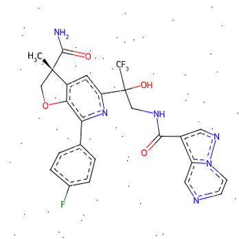 C[C@]1(C(N)=O)COc2c1cc(C(O)(CNC(=O)c1cnn3ccncc13)C(F)(F)F)nc2-c1ccc(F)cc1